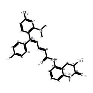 CN(C)c1nc(C(F)(F)F)ccc1/C(=C/C=C/C(=O)Nc1cccc2c1CC(O)C(=O)N2)c1ccc(F)cc1